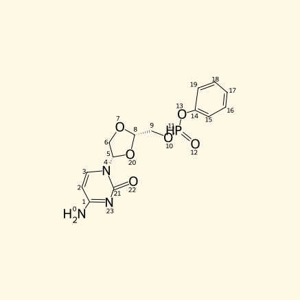 Nc1ccn([C@@H]2CO[C@H](CO[PH](=O)Oc3ccccc3)O2)c(=O)n1